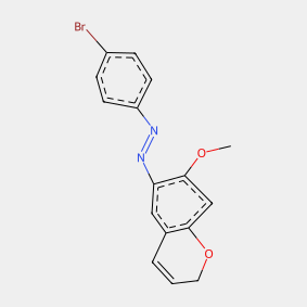 COc1cc2c(cc1N=Nc1ccc(Br)cc1)C=CCO2